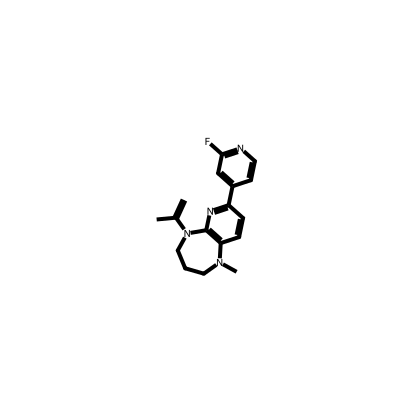 C=C(C)N1CCCN(C)c2ccc(-c3ccnc(F)c3)nc21